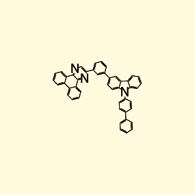 c1ccc(-c2ccc(-n3c4ccccc4c4cc(-c5cccc(-c6cnc7c8ccccc8c8ccccc8c7n6)c5)ccc43)cc2)cc1